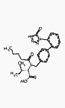 CCCCC(=O)N(Cc1ccc(-c2ccccc2-n2nn[nH]c2=O)cc1)[C@H](C(=O)O)C(C)C